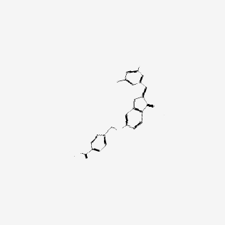 C=C1/C(=C/c2cc(Cl)cc(Cl)c2)Cc2cc(OCc3ccc(C(=O)OC)cc3)ccc21